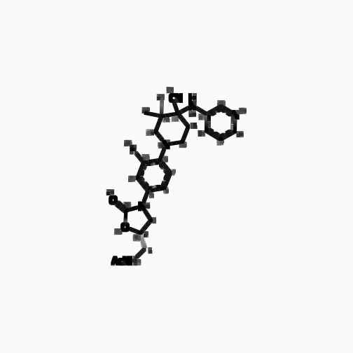 CC(=O)NC[C@H]1CN(c2ccc(N3CCC(C#N)(Nc4cccnc4)C(C)(C)C3)c(F)c2)C(=O)O1